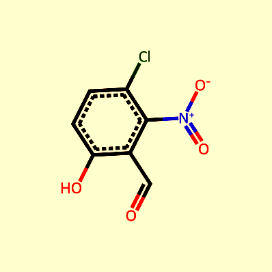 O=Cc1c(O)ccc(Cl)c1[N+](=O)[O-]